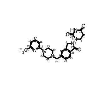 O=C1CCN(N2Cc3cc(CN4CCN(c5cccc(C(F)(F)F)n5)CC4)ccc3C2=O)C(=O)N1